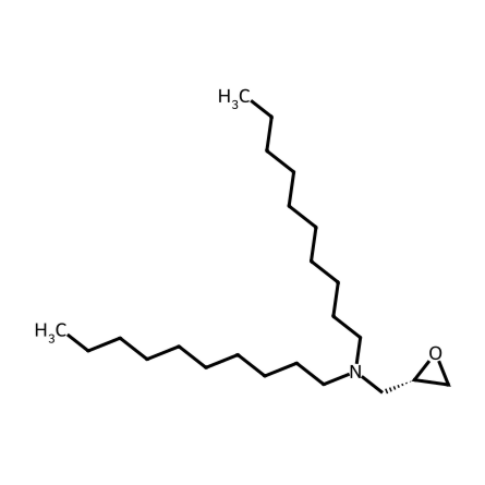 CCCCCCCCCCN(CCCCCCCCCC)C[C@H]1CO1